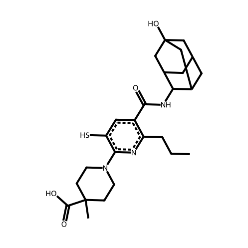 CCCc1nc(N2CCC(C)(C(=O)O)CC2)c(S)cc1C(=O)NC1C2CC3CC1CC(O)(C3)C2